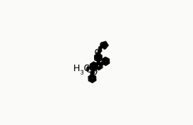 COc1ccc2c(c1OCc1ccccc1)CCC(c1ccccc1)=C2c1ccc(OCCN2CCCC2)cc1